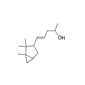 CC(O)CC=CC1CC2CC2(C)C1(C)C